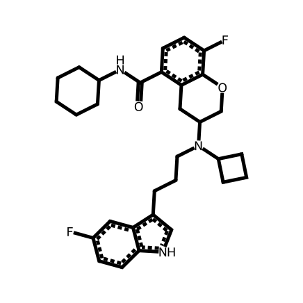 O=C(NC1CCCCC1)c1ccc(F)c2c1CC(N(CCCc1c[nH]c3ccc(F)cc13)C1CCC1)CO2